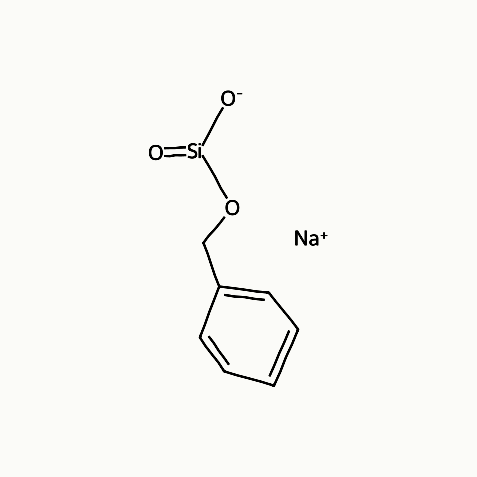 O=[Si]([O-])OCc1ccccc1.[Na+]